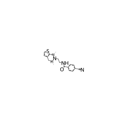 C[C@@H]1Cc2ccsc2[C@H](C)N1CCNC(=O)c1ccc(C#N)cc1